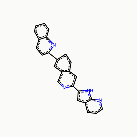 c1ccc2nc(-c3ccc4cc(-c5cc6cccnc6[nH]5)ncc4c3)ccc2c1